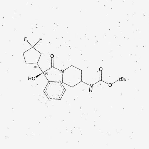 CC(C)(C)OC(=O)NC1CCN(C(=O)[C@](O)(c2ccccc2)[C@@H]2CCC(F)(F)C2)CC1